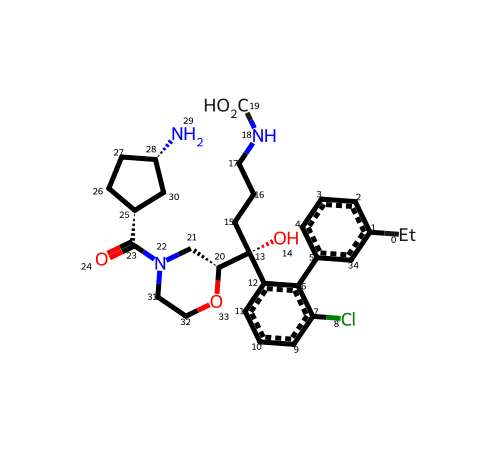 CCc1cccc(-c2c(Cl)cccc2[C@](O)(CCCNC(=O)O)[C@H]2CN(C(=O)[C@@H]3CC[C@H](N)C3)CCO2)c1